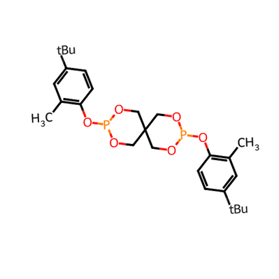 Cc1cc(C(C)(C)C)ccc1OP1OCC2(CO1)COP(Oc1ccc(C(C)(C)C)cc1C)OC2